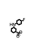 O=[N+]([O-])c1cccc(Nc2ccc(F)cc2)c1